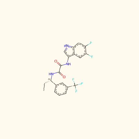 CC[C@H](NC(=O)C(=O)Nc1c[nH]c2cc(F)c(F)cc12)c1cccc(C(F)(F)F)c1